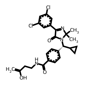 C=C(O)CCNC(=O)c1ccc([C@@H](C2CC2)N2C(=O)C(c3cc(Cl)cc(Cl)c3)=NC2(C)C)cc1